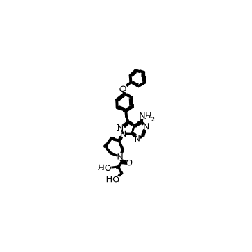 Nc1ncnc2c1c(-c1ccc(Oc3ccccc3)cc1)nn2C1CCCN(C(=O)C(O)CO)C1